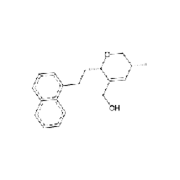 C[C@@H]1C=C(CO)[C@H](CCc2cccc3ccccc23)OC1